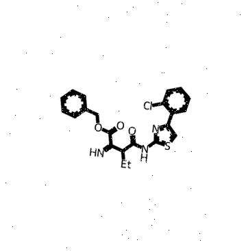 CCC(C(=N)C(=O)OCc1ccccc1)C(=O)Nc1nc(-c2ccccc2Cl)cs1